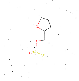 O=S(S)OCC1CCCO1